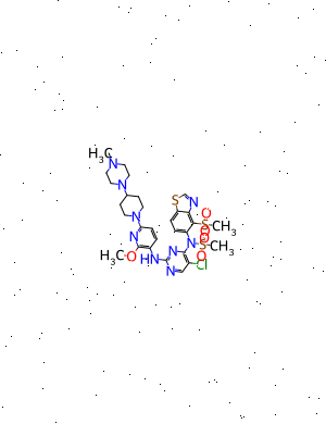 COc1nc(N2CCC(N3CCN(C)CC3)CC2)ccc1Nc1ncc(Cl)c(N(c2ccc3scnc3c2S(C)(=O)=O)S(C)(=O)=O)n1